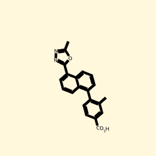 Cc1nnc(-c2cccc3c(-c4ccc(C(=O)O)cc4C)cccc23)o1